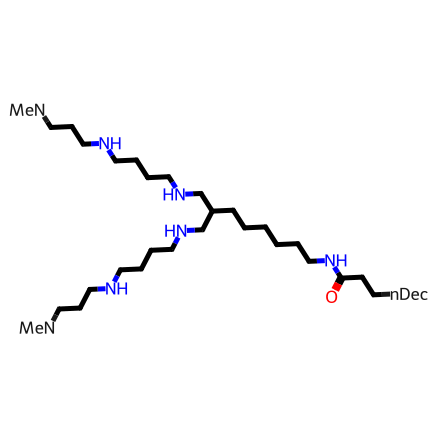 CCCCCCCCCCCCC(=O)NCCCCCCC(CNCCCCNCCCNC)CNCCCCNCCCNC